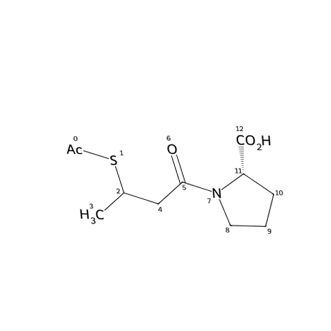 CC(=O)SC(C)CC(=O)N1CCC[C@H]1C(=O)O